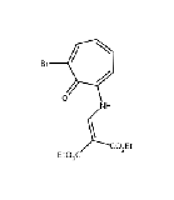 CCOC(=O)C(=CNc1ccccc(Br)c1=O)C(=O)OCC